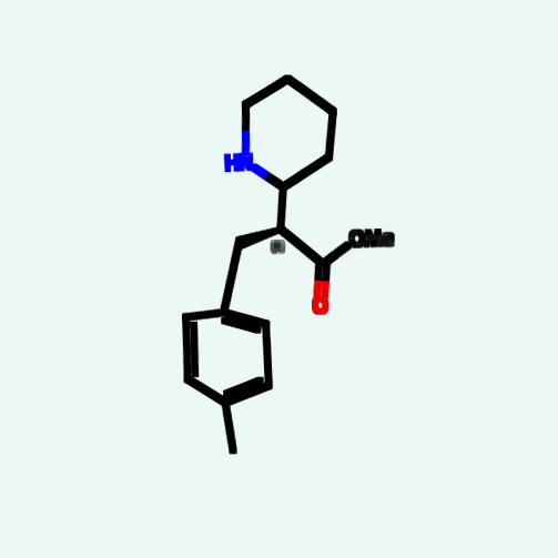 COC(=O)[C@@H](Cc1ccc(C)cc1)C1CCCCN1